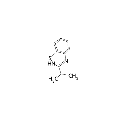 CC(C)C1=Nc2ccccc2SN1